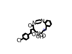 O=C1c2cc(-c3ccc(Cl)cc3)oc2N(O)C(=O)/C=C/c2ccccc2N2CCN1CC2